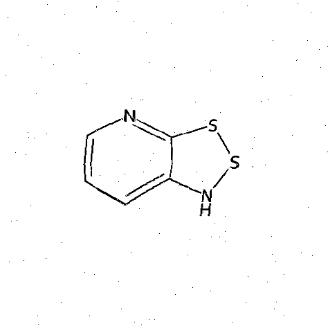 c1cnc2c(c1)NSS2